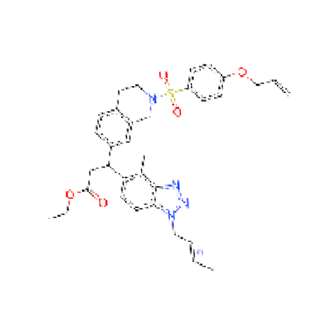 C=CCOc1ccc(S(=O)(=O)N2CCc3ccc(C(CC(=O)OCC)c4ccc5c(nnn5C/C=C/C)c4C)cc3C2)cc1